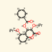 CC(C)Oc1c(OC(=O)c2ccccc2)c2c(OC(C)C)cccc2oc1=O